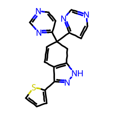 C1=CC(c2ccncn2)(c2ccncn2)Cc2[nH]nc(-c3cccs3)c21